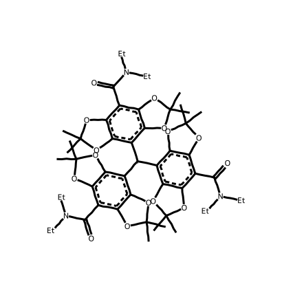 CCN(CC)C(=O)c1c2c(c([C](c3c4c(c(C(=O)N(CC)CC)c5c3OC(C)(C)O5)OC(C)(C)O4)c3c4c(c(C(=O)N(CC)CC)c5c3OC(C)(C)O5)OC(C)(C)O4)c3c1OC(C)(C)O3)OC(C)(C)O2